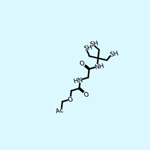 CC(=O)COCC(=O)NCC(=O)NC(CS)(CS)CS